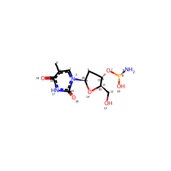 Cc1cn([C@H]2C[C@H](OP(N)O)[C@@H](CO)O2)c(=O)[nH]c1=O